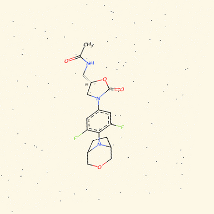 CC(=O)NC[C@H]1CN(c2cc(F)c(N3C4CCC3COC4)c(F)c2)C(=O)O1